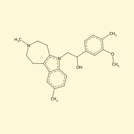 COc1cc(C(O)Cn2c3c(c4cc(C)ccc42)CCN(C)CC3)ccc1C